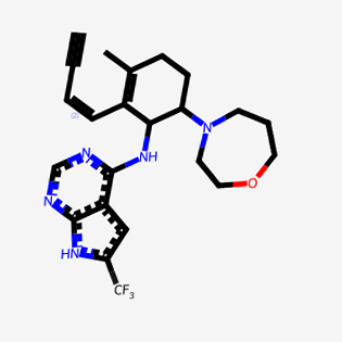 C#C/C=C\C1=C(C)CCC(N2CCCOCC2)C1Nc1ncnc2[nH]c(C(F)(F)F)cc12